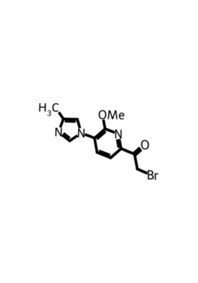 COc1nc(C(=O)CBr)ccc1-n1cnc(C)c1